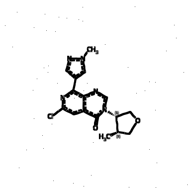 C[C@@H]1COC[C@H]1n1cnc2c(-c3cnn(C)c3)nc(Cl)cc2c1=O